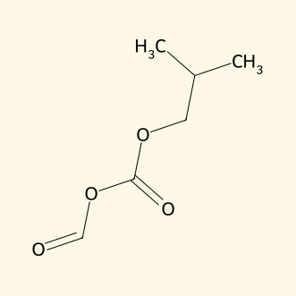 CC(C)COC(=O)OC=O